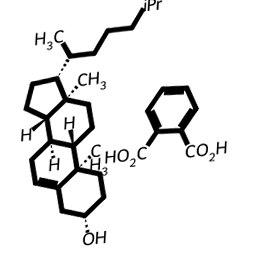 CC(C)CCCC(C)[C@H]1CC[C@H]2[C@@H]3CC=C4C[C@@H](O)CC[C@]4(C)[C@H]3CC[C@]12C.O=C(O)c1ccccc1C(=O)O